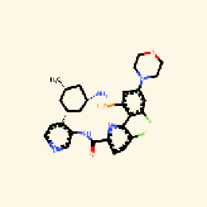 C[C@@H]1C[C@H](N)C[C@H](c2ccncc2NC(=O)c2ccc(F)c(-c3c(F)cc(N4CCOCC4)cc3P)n2)C1